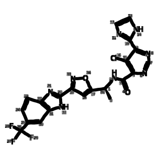 C[C@H](NC(=O)c1ncnc(-c2ncc[nH]2)c1Cl)c1cc(-c2nc3ccc(C(F)(F)F)cc3[nH]2)no1